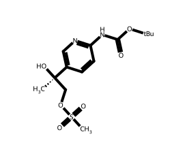 CC(C)(C)OC(=O)Nc1ccc([C@](C)(O)COS(C)(=O)=O)cn1